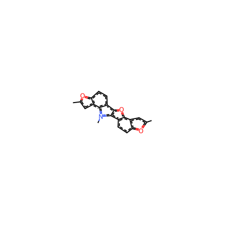 Cc1cc2c(ccc3c2oc2c4ccc5oc(C)cc5c4n(C)c32)o1